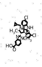 C[C@H]1[C@@H](c2nc3cc(C(=O)O)ccc3n2C)[C@H](c2cc(Cl)cs2)[C@]2(C(=O)Nc3cc(Cl)ccc32)N1CC1CC1